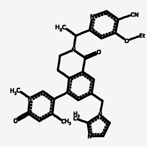 CCOc1cc(C(C)N2CCc3c(cc(Cn4ccnc4C)cc3-c3cn(C)c(=O)cc3C)C2=O)ncc1C#N